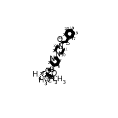 CC1(C)OB(c2ccc(N3CCN(C(=O)Cc4ccccc4)CC3)nc2)OC1(C)C